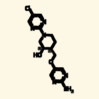 Bc1ncc(OC[C@@H]2CCN(c3ncc(Cl)cn3)C[C@@H]2O)cn1